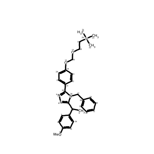 COc1ccc(C(C)c2nnc(-c3ccc(OCOCC[Si](C)(C)C)cc3)n2Cc2ccccc2)cc1